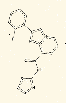 O=C(Nc1nccs1)c1cccn2cc(-c3ccccc3F)nc12